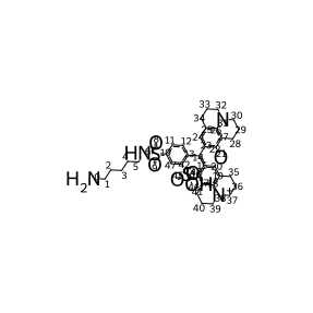 NCCCCCNS(=O)(=O)c1ccc(C2=c3cc4c5c(c3Oc3c2cc2c6c3CCCN6CCC2)CCC[N+]=5CCC4)c(S(=O)(=O)O)c1